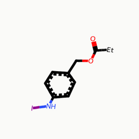 CCC(=O)OCc1ccc(NI)cc1